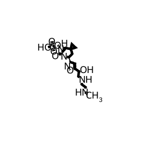 CNCCNCC(O)c1cc([C@@H]2CC3(CC3)[C@@H]3CN2C(=O)N3OS(=O)(=O)O)no1